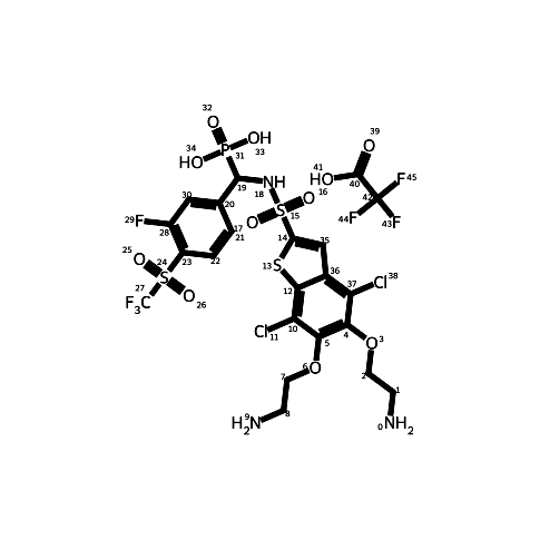 NCCOc1c(OCCN)c(Cl)c2sc(S(=O)(=O)NC(c3ccc(S(=O)(=O)C(F)(F)F)c(F)c3)P(=O)(O)O)cc2c1Cl.O=C(O)C(F)(F)F